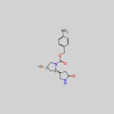 O=C1CC([C@H]2C[C@H](S)CN2C(=O)OCc2ccc([N+](=O)[O-])cc2)CN1